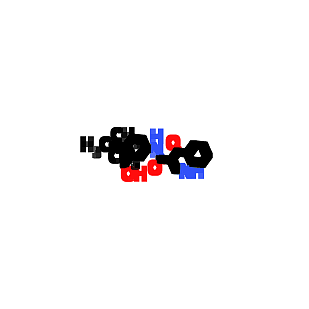 CC(C)(C)c1ccc(NC(=O)c2c[nH]c3ccccc3c2=O)cc1CO